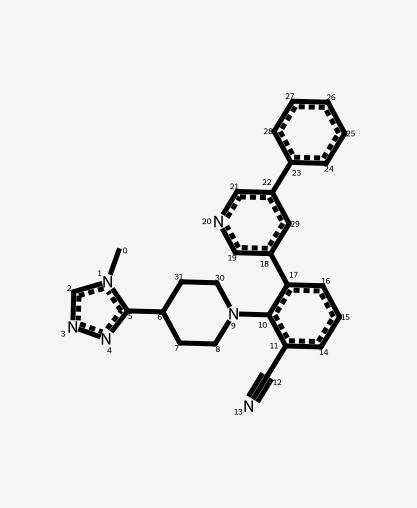 Cn1cnnc1C1CCN(c2c(C#N)cccc2-c2cncc(-c3ccccc3)c2)CC1